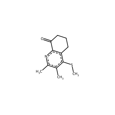 CSc1c(C)c(C)nc2c1CCCC2=O